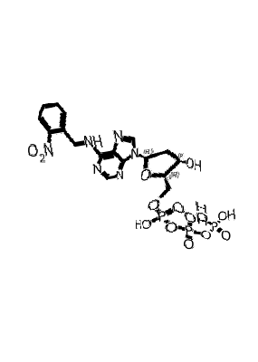 O=[N+]([O-])c1ccccc1CNc1ncnc2c1ncn2[C@H]1C[C@@H](O)[C@@H](COP(=O)(O)OP(=O)(O)OP(=O)(O)O)O1